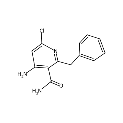 NC(=O)c1c(N)cc(Cl)nc1Cc1ccccc1